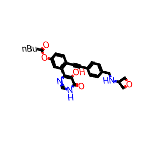 CCCCC(=O)Oc1ccc(C#Cc2ccc(CNC3COC3)cc2)c(-c2nc[nH]c(=O)c2O)c1